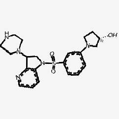 O=S(=O)(c1cccc(N2CC[C@H](O)C2)c1)N1CC(N2CCNCC2)c2ncccc21